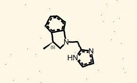 C[C@@H]1CN(Cc2ncc[nH]2)c2ccccc21